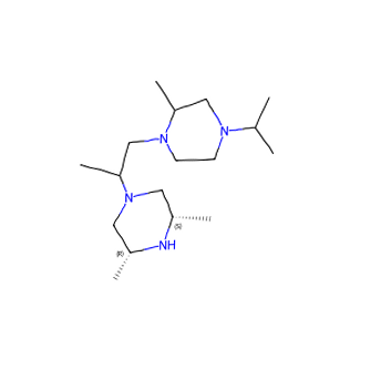 CC(C)N1CCN(CC(C)N2C[C@@H](C)N[C@@H](C)C2)C(C)C1